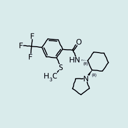 CSc1cc(C(F)(F)F)ccc1C(=O)N[C@@H]1CCCC[C@H]1N1CCCC1